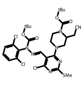 CSc1nc(Cl)c(/C=N/N(C(=O)OC(C)(C)C)c2c(Cl)cccc2Cl)c(N2CCN(C(=O)OC(C)(C)C)C(CC#N)C2)n1